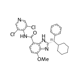 COc1ccc(C(=O)Nc2c(Cl)cncc2Cl)c2[nH]c([C@H](c3ccccc3)C3CCCCC3)nc12